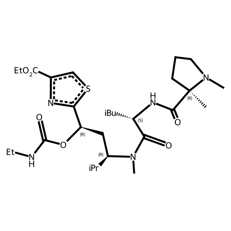 CCNC(=O)O[C@H](C[C@H](C(C)C)N(C)C(=O)[C@@H](NC(=O)[C@@]1(C)CCCN1C)C(C)CC)c1nc(C(=O)OCC)cs1